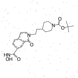 CC(C)(C)OC(=O)N1CCC(CCn2ccc3ccc(C(=O)NO)cc3c2=O)CC1